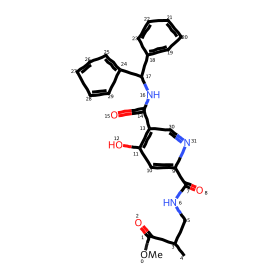 COC(=O)C(C)CNC(=O)c1cc(O)c(C(=O)NC(c2ccccc2)c2ccccc2)cn1